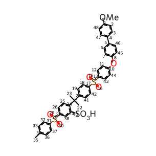 COc1ccc(-c2ccc(Oc3ccc(S(=O)(=O)c4ccc(C(C)(C)c5ccc(S(=O)(=O)c6ccc(C)cc6)cc5S(=O)(=O)O)cc4)cc3)cc2)cc1